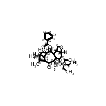 CC[Si](CC)(CC)O[C@H]1C[C@H]2OC[C@@]2(C)C2[C@H](OC(=O)c3ccccc3)[C@]3(O)C[C@H](O)C(C)=C([C@@H](C)[C@H](O)[C@@]21C)C3(C)C